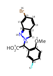 COc1ccc(F)cc1C(C(=O)O)n1cc2ccc(Br)cc2n1